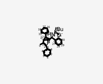 CC1=C(c2ccccc2)[P@@]2C[C@]1(C)C(c1ccccc1)=C2[C@@H](N[S@+]([O-])C(C)(C)C)c1ccccc1